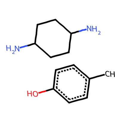 Cc1ccc(O)cc1.NC1CCC(N)CC1